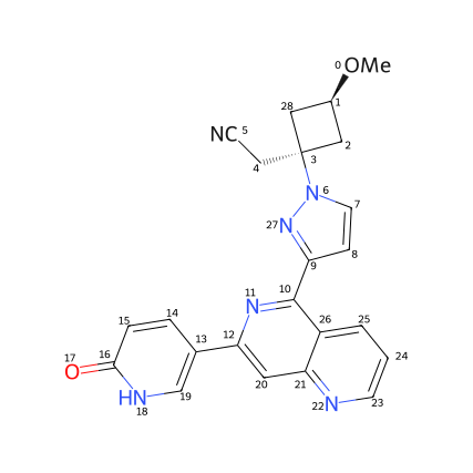 CO[C@H]1C[C@@](CC#N)(n2ccc(-c3nc(-c4ccc(=O)[nH]c4)cc4ncccc34)n2)C1